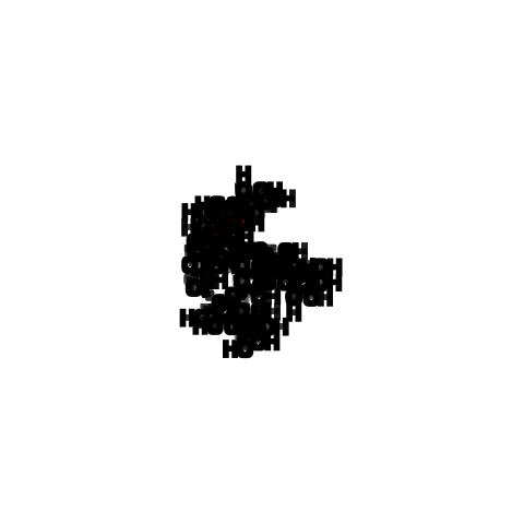 CC(=O)NC1[C@H](C)OC(CO)[C@@H](O[C@@H]2OC(CO[C@H]3OC(CO[C@H]4OC(CO)[C@@H](O)[C@H](O)C4O[C@H]4OC(CO)[C@@H](O)[C@H](O)C4O)[C@@H](O)[C@H](O[C@H]4OC(CO)[C@@H](O)C(O)C4O[C@H]4OC(CO)[C@@H](O)C(O)C4O)C3O)[C@@H](O)[C@H](O[C@H]3OC(CO)[C@@H](O)C(O)C3O[C@H]3OC(CO)[C@@H](O)C(O)C3O[C@H]3OC(CO)[C@@H](O)C(O)C3O)C2O)[C@@H]1O